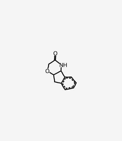 O=C1COC2Cc3ccccc3C2N1